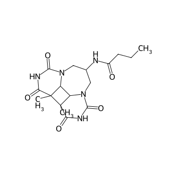 CCCC(=O)NC1CN2C(=O)NC(=O)C3(C)C2C2N(C1)C(=O)NC(=O)C23C